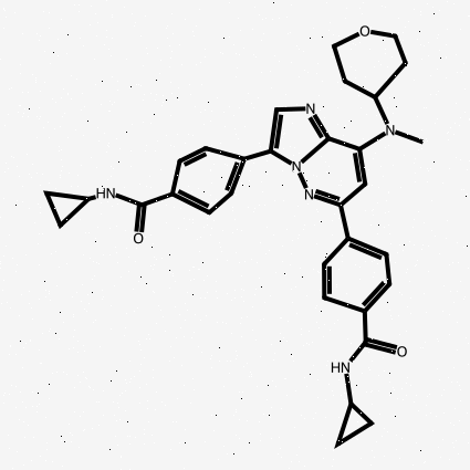 CN(c1cc(-c2ccc(C(=O)NC3CC3)cc2)nn2c(-c3ccc(C(=O)NC4CC4)cc3)cnc12)C1CCOCC1